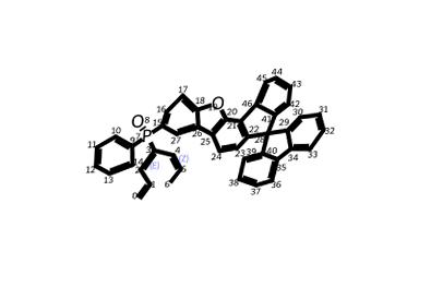 C=C/C=C(\C=C/C)P(=O)(c1ccccc1)c1ccc2oc3c4c(ccc3c2c1)C1(c2ccccc2-c2ccccc21)c1ccccc1-4